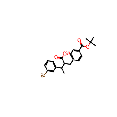 CC(c1cccc(Br)c1)C(Cc1ccc(C(=O)OC(C)(C)C)cc1)C(=O)O